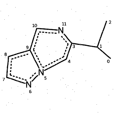 CC(C)c1cn2nccc2cn1